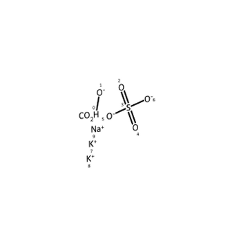 O=C([O-])O.O=S(=O)([O-])[O-].[K+].[K+].[Na+]